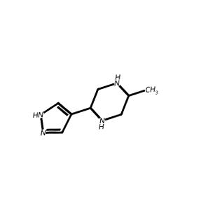 CC1CNC(c2cn[nH]c2)CN1